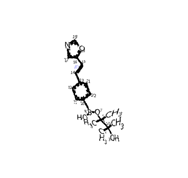 CC(C)(O)C(C)(C)OB(O)c1ccc(/C=C/c2cnco2)cc1